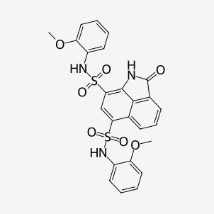 COc1ccccc1NS(=O)(=O)c1cc(S(=O)(=O)Nc2ccccc2OC)c2cccc3c2c1NC3=O